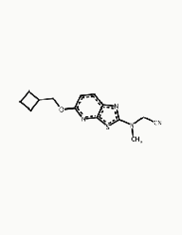 CN(CC#N)c1nc2ccc(OCC3CCC3)nc2s1